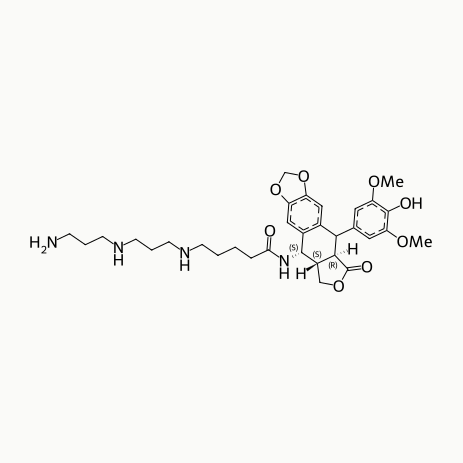 COc1cc(C2c3cc4c(cc3[C@@H](NC(=O)CCCCNCCCNCCCN)[C@H]3COC(=O)[C@H]23)OCO4)cc(OC)c1O